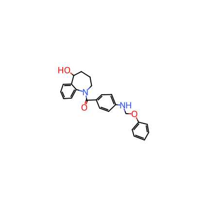 O=C(c1ccc(NCOc2ccccc2)cc1)N1CCCC(O)c2ccccc21